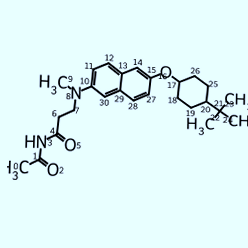 CC(=O)NC(=O)CCN(C)c1ccc2cc(OC3CCC(C(C)(C)C)CC3)ccc2c1